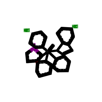 Cl.Cl.[CH2]=[Zr]([c]1ccccc1)([c]1ccccc1)([c]1ccccc1)([c]1ccc[pH]1)[CH]1C=Cc2ccccc21